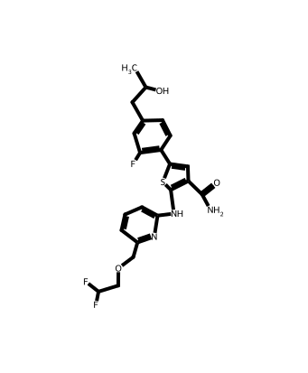 CC(O)Cc1ccc(-c2cc(C(N)=O)c(Nc3cccc(COCC(F)F)n3)s2)c(F)c1